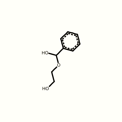 OCCOC(O)c1ccccc1